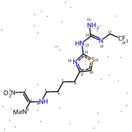 CNC(=C[N+](=O)[O-])NCCCCc1csc(NC(N)=NCC(F)(F)F)n1